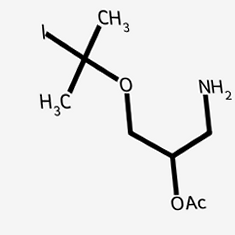 CC(=O)OC(CN)COC(C)(C)I